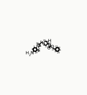 Nc1ccc(N2CC(CN3CCC(NC(=O)OCc4ccccc4)CC3)C2)c(F)c1